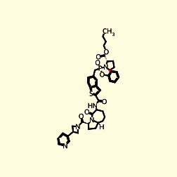 CCCCOC(=O)[C@@H]1CCCN1P(=O)(Cc1ccc2sc(C(=O)N[C@H]3CCC[C@H]4CC[C@@H](C(=O)N5CC(c6cccnc6)C5)N4C3=O)cc2c1)Oc1ccccc1